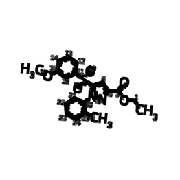 CCOC(=O)c1cc(S(=O)(=O)c2cccc(OC)c2)n(-c2ccccc2C)n1